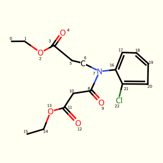 CCOC(=O)CCN(C(=O)CC(=O)OCC)c1ccccc1Cl